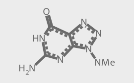 CNn1nnc2c(=O)[nH]c(N)nc21